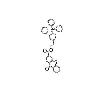 O=C(OCCc1ccc([B-](c2ccccc2)(c2ccccc2)c2ccccc2)cc1)c1ccc2c(=O)c3ccccc3sc2c1